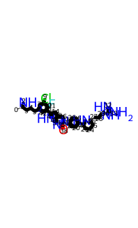 C[C@H](N)CCCc1cc(Cl)c(F)c(-c2cc3cn(-c4ccc([C@@H]5CCC[C@@H](CCCNC(=N)N)N5)cc4)c(=O)nc3[nH]2)c1